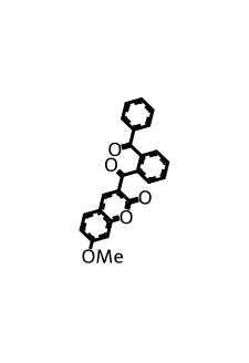 COc1ccc2cc(C(=O)c3ccccc3C(=O)c3ccccc3)c(=O)oc2c1